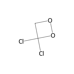 ClC1(Cl)COO1